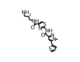 Cn1nc(C(=O)Nc2nc(C(=O)NCCCN)cs2)cc1-c1cccs1